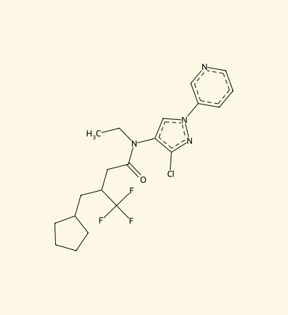 CCN(C(=O)CC(CC1CCCC1)C(F)(F)F)c1cn(-c2cccnc2)nc1Cl